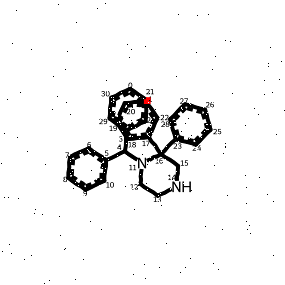 c1ccc(C(c2ccccc2)N2CCNCC2(c2ccccc2)c2ccccc2)cc1